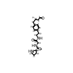 C[C@H](CC=O)Cc1ccc(CCNC(=O)CNC(=O)[C@@H]2CCCN2)cc1